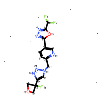 FC(F)c1nnc(-c2ccc(Cn3cc(C4(F)COC4)nn3)nc2)o1